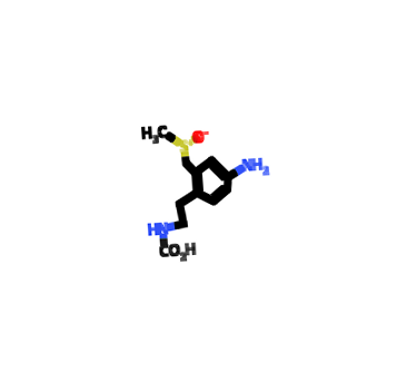 C[S+]([O-])Cc1cc(N)ccc1CCNC(=O)O